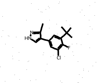 Cc1n[nH]cc1-c1cc(Cl)c(F)c(C(C)(C)C)c1